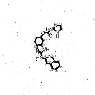 O=C(Nc1ncc[nH]1)Oc1ccc2nc(Nc3cc4ccccc4cn3)[nH]c2c1